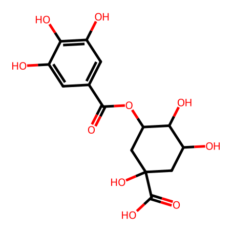 O=C(OC1CC(O)(C(=O)O)CC(O)C1O)c1cc(O)c(O)c(O)c1